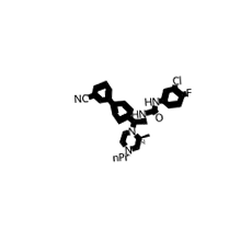 CCCN1CCN(C(CNC(=O)Nc2ccc(F)c(Cl)c2)c2ccc(-c3cccc(C#N)c3)cc2)[C@@H](C)C1